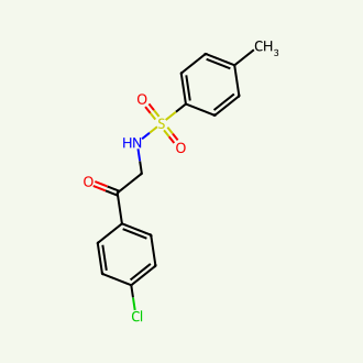 Cc1ccc(S(=O)(=O)NCC(=O)c2ccc(Cl)cc2)cc1